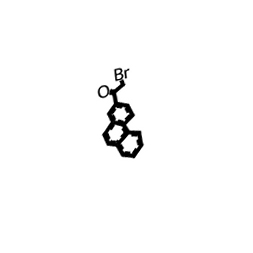 O=C(CBr)c1ccc2c(ccc3ccccc32)c1